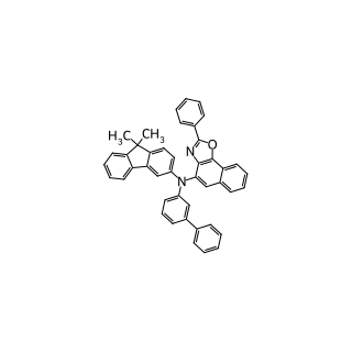 CC1(C)c2ccccc2-c2cc(N(c3cccc(-c4ccccc4)c3)c3cc4ccccc4c4oc(-c5ccccc5)nc34)ccc21